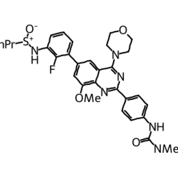 CCC[S+]([O-])Nc1cccc(-c2cc(OC)c3nc(-c4ccc(NC(=O)NC)cc4)nc(N4CCOCC4)c3c2)c1F